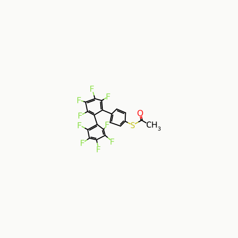 CC(=O)Sc1ccc(-c2c(F)c(F)c(F)c(F)c2-c2c(F)c(F)c(F)c(F)c2F)cc1